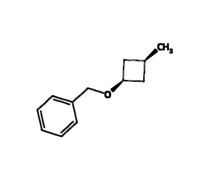 C[C@H]1C[C@@H](OCc2ccccc2)C1